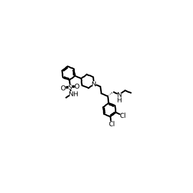 CCNC[C@@H](CCN1CCC(c2ccccc2S(=O)(=O)NC)CC1)c1ccc(Cl)c(Cl)c1